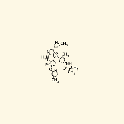 C=C(C)C(=O)Nc1ccc(-c2sc3c(-c4cnn(C)c4)cnc(N)c3c2-c2ccc(Oc3nccc(C)n3)c(F)c2F)c(C)c1